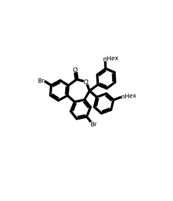 CCCCCCc1cccc(C2(c3cccc(CCCCCC)c3)OC(=O)c3cc(Br)ccc3-c3ccc(Br)cc32)c1